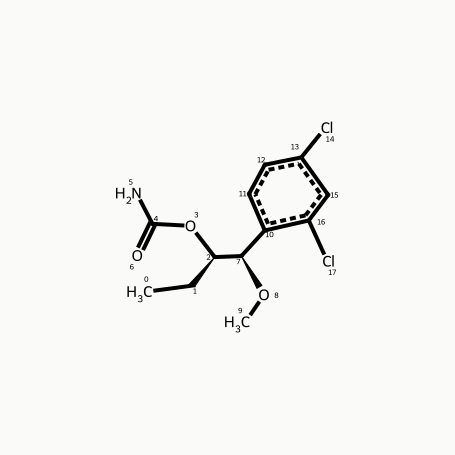 CC[C@@H](OC(N)=O)[C@H](OC)c1ccc(Cl)cc1Cl